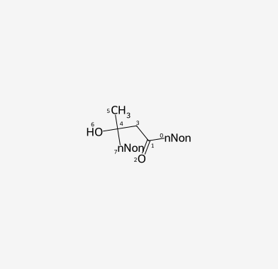 CCCCCCCCCC(=O)CC(C)(O)CCCCCCCCC